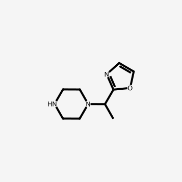 CC(c1ncco1)N1CCNCC1